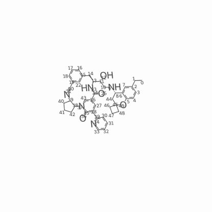 CCc1ccc2c(c1)[C@@H](NC[C@@H](O)[C@H](Cc1cccc(C#N)c1)NC(=O)c1cc(-c3ccccn3)c(=O)n(C3CCCC3)c1)CC1(CCC1)O2